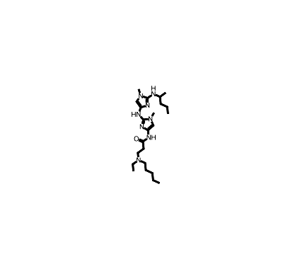 CCCCCN(CC)CCC(=O)Nc1cn(C)c(Nc2cn(C)c(NC(C)CCC)n2)n1